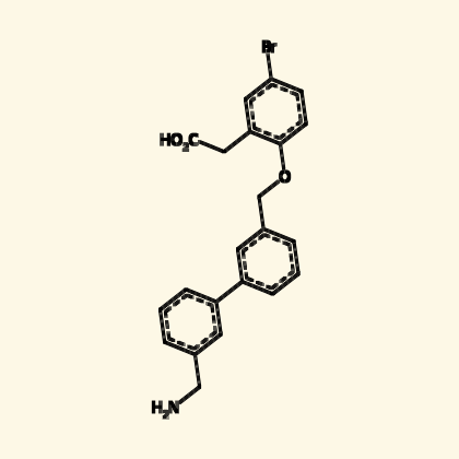 NCc1cccc(-c2cccc(COc3ccc(Br)cc3CC(=O)O)c2)c1